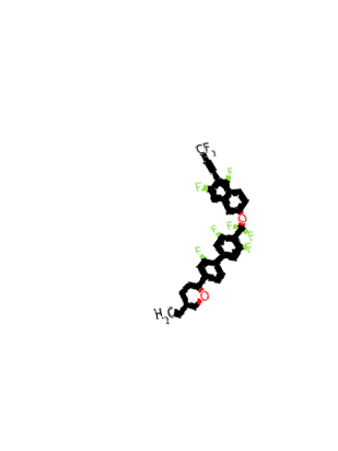 C=CC1CCC(c2ccc(-c3cc(F)c(C(F)(F)Oc4ccc5c(F)c(C#CC(F)(F)F)c(F)cc5c4)c(F)c3)c(F)c2)OC1